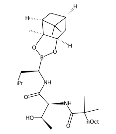 CCCCCCCCC(C)(C)C(=O)N[C@H](C(=O)N[C@@H](CC(C)C)B1O[C@@H]2C[C@@H]3C[C@@H](C3(C)C)[C@]2(C)O1)[C@@H](C)O